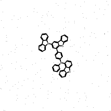 c1ccc(N(c2ccc(-c3cc(-n4c5ccccc5c5ccccc54)cc4c3sc3ccccc34)cc2)c2cccc3sc4ccccc4c23)cc1